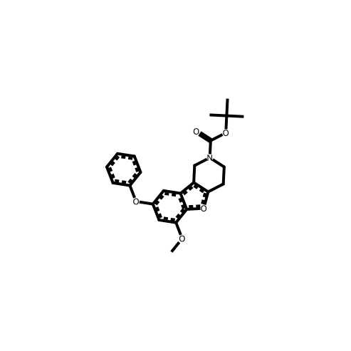 COc1cc(Oc2ccccc2)cc2c3c(oc12)CCN(C(=O)OC(C)(C)C)C3